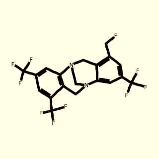 FCc1cc(C(F)(F)F)cc2c1CN1CN2Cc2c1cc(C(F)(F)F)cc2C(F)(F)F